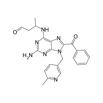 Cc1ccc(Cn2c(C(=O)c3ccccc3)nc3c(NC(C)CC=O)nc(N)nc32)cn1